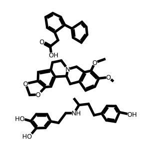 CC(CCc1ccc(O)cc1)NCCc1ccc(O)c(O)c1.COc1ccc2c(c1OC)CN1CCc3cc4c(cc3C1C2)OCO4.O=C(O)Cc1ccccc1-c1ccccc1